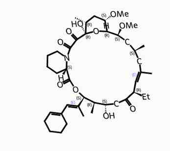 CC[C@@H]1/C=C(\C)C[C@H](C)C[C@H](OC)[C@H]2O[C@@](O)(C(=O)C(=O)N3CCCC[C@H]3C(=O)O[C@H](/C(C)=C/C3=CCCCC3)[C@H](C)[C@@H](O)CC1=O)[C@H](C)C[C@@H]2OC